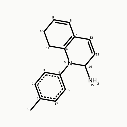 Cc1ccc(N2C3=C(C=CCC3)C=CC2N)cc1